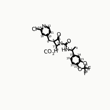 CC(NC(=O)N1C(=O)[C@H](Cc2ccnc(Cl)c2)C1C(=O)O)c1ccc2c(c1)OC(F)(F)O2